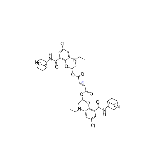 CCN1CC(OC(=O)/C=C/C(=O)OC2CN(CC)c3cc(Cl)cc(C(=O)NC4CN5CCC4CC5)c3O2)Oc2c(C(=O)NC3CN4CCC3CC4)cc(Cl)cc21